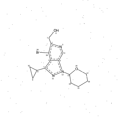 OCc1ncc2c(c(C3CC3)nn2C2CCCCO2)c1Br